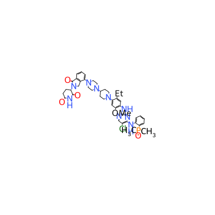 CCc1cc(Nc2ncc(Cl)c(Nc3ccccc3P(C)(C)=O)n2)c(OC)cc1N1CCC(N2CCN(c3cccc4c3CN(C3CCC(=O)NC3=O)C4=O)CC2)CC1